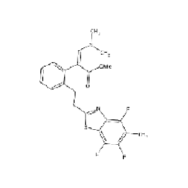 COC(=O)C(=CN(C)C)c1ccccc1CSc1nc2c(F)c(C)c(F)c(F)c2s1